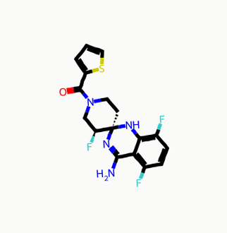 NC1=N[C@]2(CCN(C(=O)c3cccs3)C[C@@H]2F)Nc2c(F)ccc(F)c21